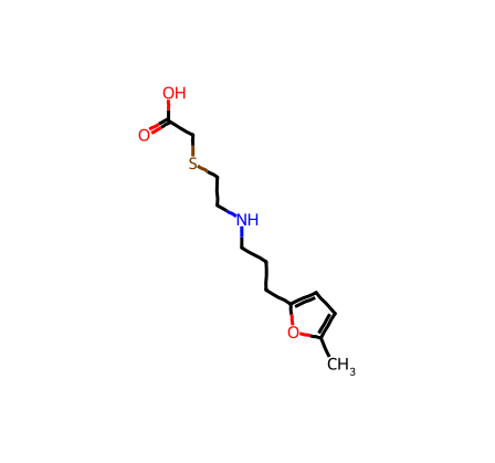 Cc1ccc(CCCNCCSCC(=O)O)o1